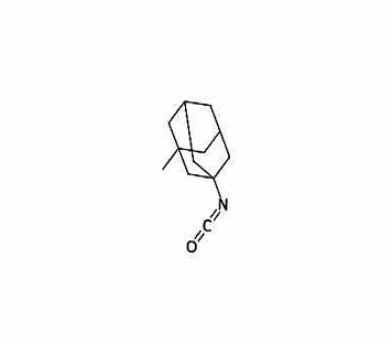 CC12CC3CC(C1)CC(N=C=O)(C3)C2